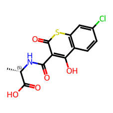 C[C@H](NC(=O)c1c(O)c2ccc(Cl)cc2sc1=O)C(=O)O